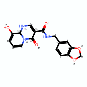 O=C(NCc1ccc2c(c1)OCO2)C1=CNC2C(O)=CC=CN2C1=O